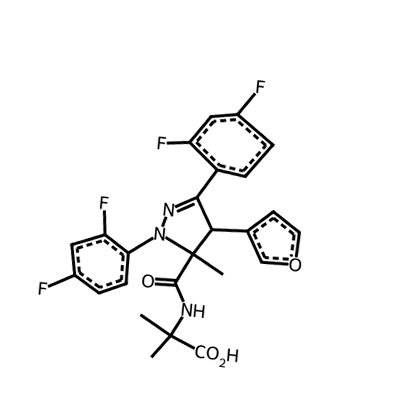 CC(C)(NC(=O)C1(C)C(c2ccoc2)C(c2ccc(F)cc2F)=NN1c1ccc(F)cc1F)C(=O)O